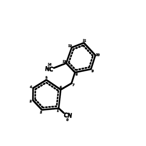 N#Cc1ccccc1Cc1ccccc1C#N